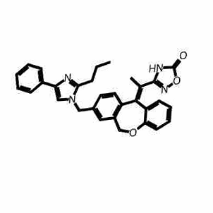 CCCc1nc(-c2ccccc2)cn1Cc1ccc2c(c1)COc1ccccc1C2=C(C)c1noc(=O)[nH]1